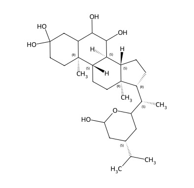 CC(C)[C@@H]1CC(O)OC([C@@H](C)[C@H]2CC[C@H]3[C@@H]4C(O)C(O)C5CC(O)(O)CC[C@]5(C)[C@H]4CC[C@]23C)C1